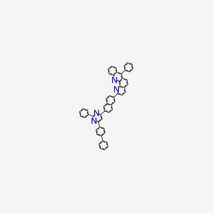 c1ccc(-c2ccc(-c3cc(-c4ccc5cc(-c6ccc7ccc8c(-c9ccccc9)c9ccccc9nc8c7n6)ccc5c4)nc(-c4ccccc4)n3)cc2)cc1